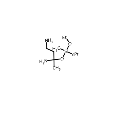 CCC[Si](C)(OCC)OC(C)(N)CCN